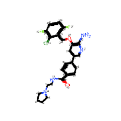 Nc1ncc(-c2ccc(C(=O)NCCN3CCCC3)cc2)cc1OCc1c(F)ccc(F)c1Cl